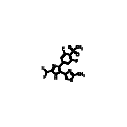 Cc1nc(-c2[nH]c(C(F)F)nc2-c2cc(F)c(S(C)(=O)=O)c(F)c2)cs1